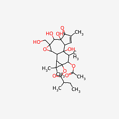 CCC(C)C(=O)OC12C(OC(C)=O)C(C)C3(O)C(C4OC4(CO)C(O)C4(O)C(=O)C(C)=CC43)C1C2(C)C